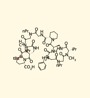 CCCN(CC(=O)N(C)[C@H](C(=O)NC[C@@H](NC(=O)OCc1ccccc1)C(=O)N1CCCC[C@H]1C(=O)NCC(=O)N(CCC)CC(=O)N(C)[C@H](C(=O)NC[C@@H](NC(=O)OC(C)(C)C)C(=O)N1CCCC[C@H]1C(=O)O)C(C)C)C(C)C)C(=O)CN